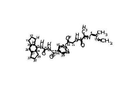 C=N/C(C)=C\N=C(/C)C(=O)NCC(=O)n1cc([S+]([O-])NC(=O)Nc2c3c(cc4c2CCC4)CCC3)cn1